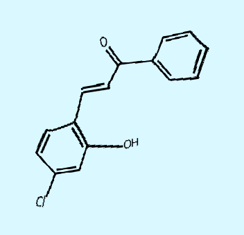 O=C(C=Cc1ccc(Cl)cc1O)c1ccccc1